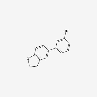 Brc1cccc(-c2ccc3c(c2)CCO3)c1